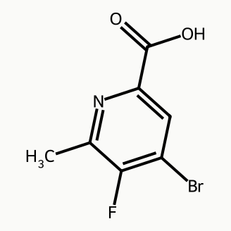 Cc1nc(C(=O)O)cc(Br)c1F